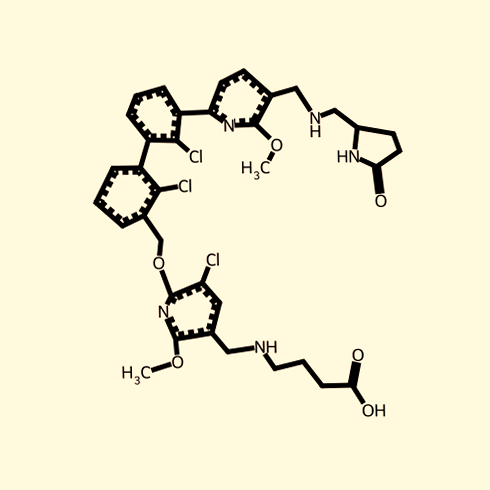 COc1nc(-c2cccc(-c3cccc(COc4nc(OC)c(CNCCCC(=O)O)cc4Cl)c3Cl)c2Cl)ccc1CNCC1CCC(=O)N1